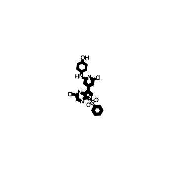 O=S(=O)(c1ccccc1)n1cc(-c2cc(Cl)nc(NC3CCC(O)CC3)c2)c2nc(Cl)cnc21